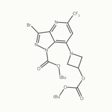 CC(C)(C)OC(=O)OC1CN(c2cc(C(F)(F)F)nc3c(Br)nn(C(=O)OC(C)(C)C)c23)C1